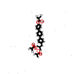 C=C(C)C(=O)OCC(COC(=O)C(=C)C)Cc1ccc(-c2ccc(-c3ccc(OC(=O)C(=C)C)cc3)cc2)cc1